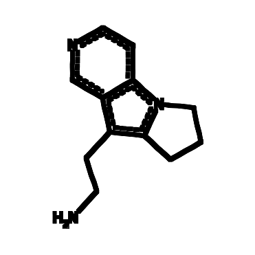 NCCc1c2n(c3ccncc13)CCC2